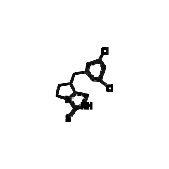 S=c1[nH]cc2n1CCC2Cc1cc(Cl)cc(Cl)c1